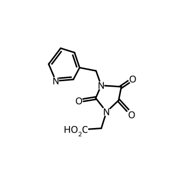 O=C(O)CN1C(=O)C(=O)N(Cc2cccnc2)C1=O